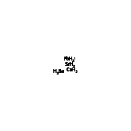 [BaH2].[CaH2].[PbH2].[SrH2]